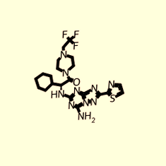 Nc1nc(N[C@H](C(=O)N2CCN(CC(F)(F)F)CC2)C2CCCCC2)nc2nc(-c3nccs3)nn12